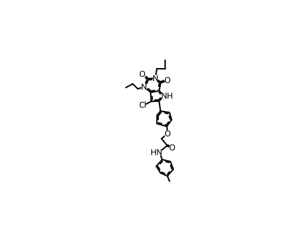 CCCn1c(=O)c2[nH]c(-c3ccc(OCC(=O)Nc4ccc(C)cc4)cc3)c(Cl)c2n(CCC)c1=O